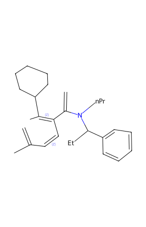 C=C(C)/C=C\C(C(=C)N(CCC)C(CC)c1ccccc1)=C(/C)C1CCCCC1